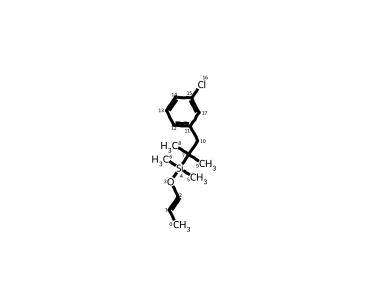 C/C=C/O[Si](C)(C)C(C)(C)Cc1cccc(Cl)c1